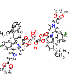 CC(C)c1ccc(C(OC(=O)C(O)C(O)C(=O)OC(C(=O)N(Cc2ccc(F)cc2)C2CCN(CCC3OCCCO3)CC2)c2ccc(C(C)C)cc2)C(=O)N(Cc2ccc(F)cc2)C2CCN(CCC3OCCCO3)CC2)cc1